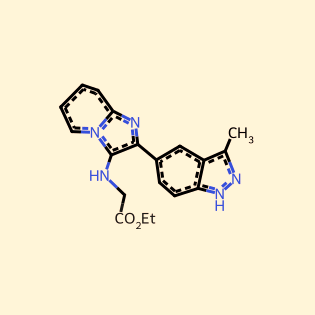 CCOC(=O)CNc1c(-c2ccc3[nH]nc(C)c3c2)nc2ccccn12